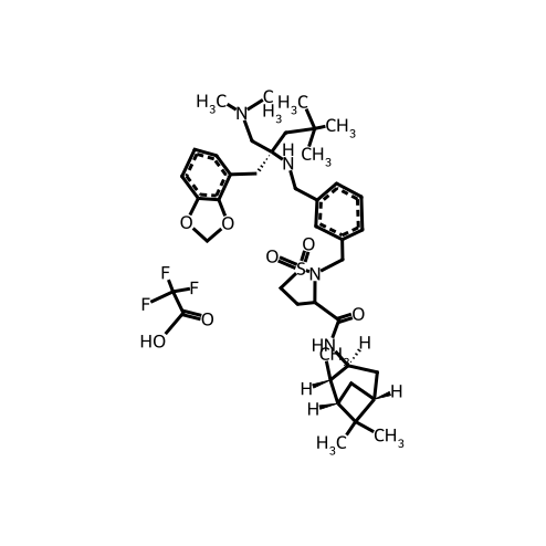 C[C@@H]1[C@@H](NC(=O)C2CCS(=O)(=O)N2Cc2cccc(CN[C@@](Cc3cccc4c3OCO4)(CN(C)C)CC(C)(C)C)c2)C[C@H]2C[C@@H]1C2(C)C.O=C(O)C(F)(F)F